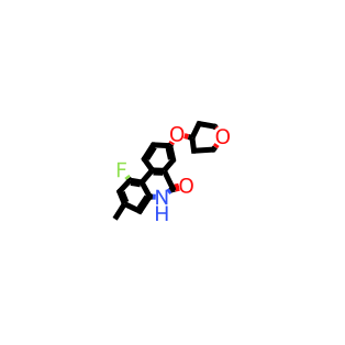 Cc1cc(F)c2c(c1)[nH]c(=O)c1cc(OC3CCOCC3)ccc12